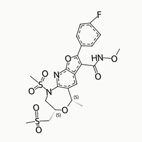 CONC(=O)c1c(-c2ccc(F)cc2)oc2nc3c(cc12)[C@H](C)O[C@H](CS(C)(=O)=O)CN3S(C)(=O)=O